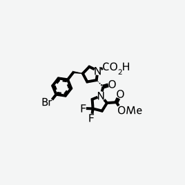 COC(=O)C1CC(F)(F)CN1C(=O)[C@@H]1C[C@@H](Cc2ccc(Br)cc2)CN1C(=O)O